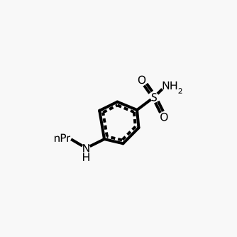 CCCNc1ccc(S(N)(=O)=O)cc1